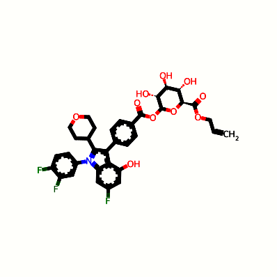 C=CCOC(=O)[C@H]1OC(OC(=O)c2ccc(-c3c(C4CCOCC4)n(-c4ccc(F)c(F)c4)c4cc(F)cc(O)c34)cc2)[C@H](O)[C@@H](O)[C@@H]1O